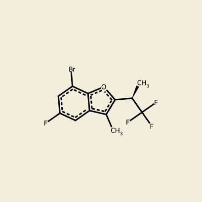 Cc1c([C@@H](C)C(F)(F)F)oc2c(Br)cc(F)cc12